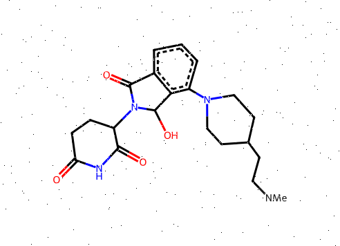 CNCCC1CCN(c2cccc3c2C(O)N(C2CCC(=O)NC2=O)C3=O)CC1